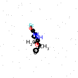 C=Cc1cc(NC2=CCC=Cn3c(-c4ccc(OC(F)F)cc4)cnc32)ccc1C(=O)CC(C)CCC1CCCCCCCC1